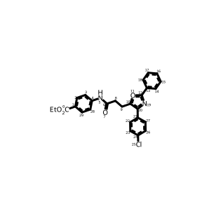 CCOC(=O)c1ccc(NC(=O)CCc2oc(-c3ccccc3)nc2-c2ccc(Cl)cc2)cc1